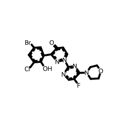 O=c1ccn(-c2ncc(F)c(N3CCOCC3)n2)nc1-c1cc(Br)cc(Cl)c1O